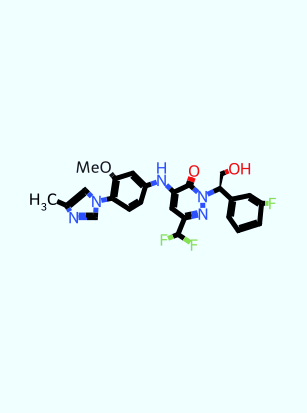 COc1cc(Nc2cc(C(F)F)nn([C@@H](CO)c3cccc(F)c3)c2=O)ccc1-n1cnc(C)c1